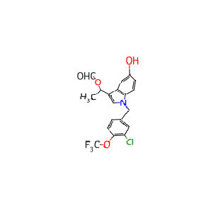 CC(OC=O)c1cn(Cc2ccc(OC(F)(F)F)c(Cl)c2)c2ccc(O)cc12